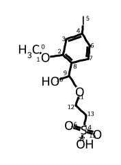 COc1cc(I)ccc1C(O)OCCS(=O)(=O)O